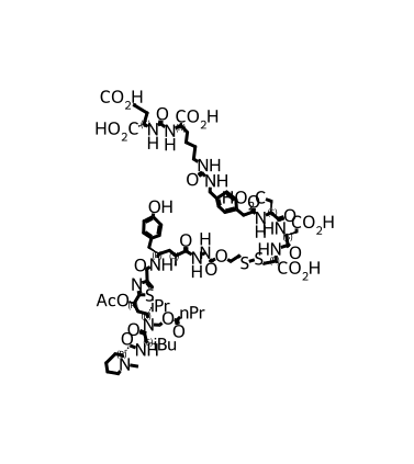 CCCC(=O)OCN(C(=O)[C@@H](NC(=O)[C@H]1CCCCN1C)C(C)CC)[C@H](C[C@@H](OC(C)=O)c1nc(C(=O)N[C@@H](Cc2ccc(O)cc2)C[C@H](C)C(=O)NNC(=O)OCCSSC[C@H](NC(=O)[C@H](CC(=O)O)NC(=O)[C@H](CC(=O)O)NC(=O)Cc2ccc(CNC(=O)NCCCC[C@@H](NC(=O)N[C@@H](CCC(=O)O)C(=O)O)C(=O)O)cc2)C(=O)O)cs1)C(C)C